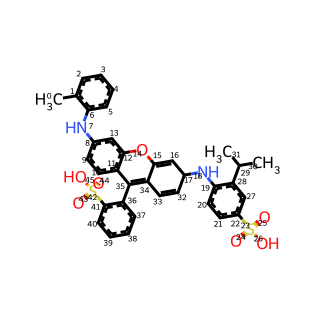 Cc1ccccc1Nc1ccc2c(c1)OC1=CC(Nc3ccc(S(=O)(=O)O)cc3C(C)C)C=CC1=C2c1ccccc1S(=O)(=O)O